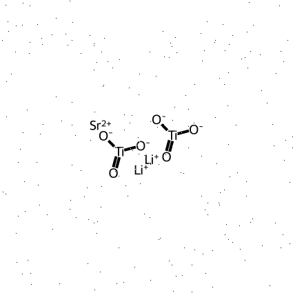 [Li+].[Li+].[O]=[Ti]([O-])[O-].[O]=[Ti]([O-])[O-].[Sr+2]